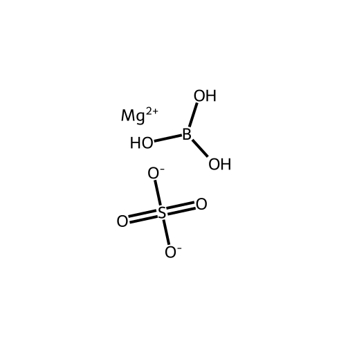 O=S(=O)([O-])[O-].OB(O)O.[Mg+2]